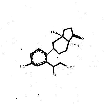 CC[C@H](COC)c1cc(O)ccc1[C@H]1CC[C@]2(C)C(=O)CC[C@@]2(N)C1